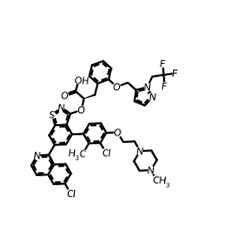 Cc1c(-c2cc(-c3nccc4cc(Cl)ccc34)cc3snc(O[C@H](Cc4ccccc4OCc4ccnn4CC(F)(F)F)C(=O)O)c23)ccc(OCCN2CCN(C)CC2)c1Cl